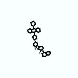 c1ccc(-c2c3ccccc3c(-c3ccc(-c4ccc5oc6c(ccc7c6oc6ccc8ccccc8c67)c5c4)cc3)c3ccccc23)cc1